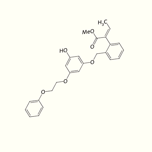 CC=C(C(=O)OC)c1ccccc1COc1cc(O)cc(OCCOc2ccccc2)c1